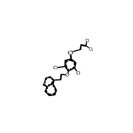 ClC(Cl)=CCOc1cc(Cl)c(OCCc2cccc3ccccc23)c(Cl)c1